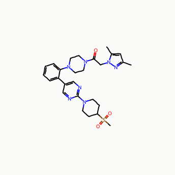 Cc1cc(C)n(CC(=O)N2CCN(c3ccccc3-c3cnc(N4CCC(S(C)(=O)=O)CC4)nc3)CC2)n1